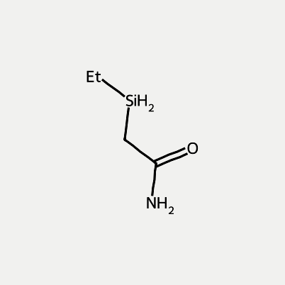 CC[SiH2]CC(N)=O